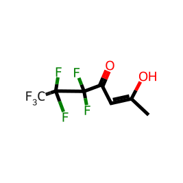 C/C(O)=C/C(=O)C(F)(F)C(F)(F)C(F)(F)F